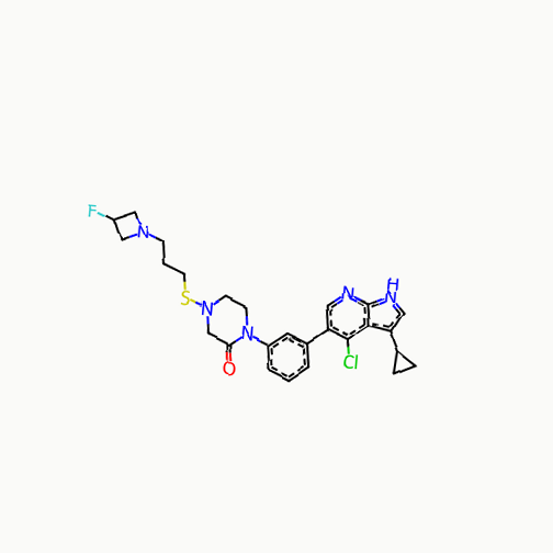 O=C1CN(SCCCN2CC(F)C2)CCN1c1cccc(-c2cnc3[nH]cc(C4CC4)c3c2Cl)c1